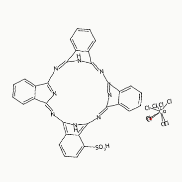 O=S(=O)(O)c1cccc2c3nc4nc(nc5[nH]c(nc6nc(nc([nH]3)c12)-c1ccccc1-6)c1ccccc51)-c1ccccc1-4.[Cl][Co]([Cl])([Cl])([Cl])([Cl])([Cl])([Cl])[Cl]